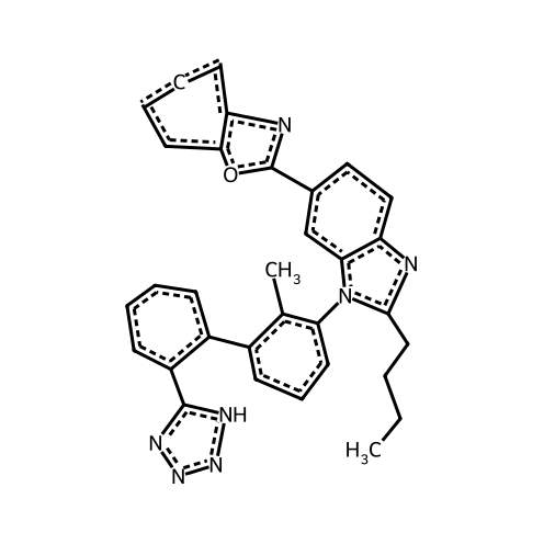 CCCCc1nc2ccc(-c3nc4ccccc4o3)cc2n1-c1cccc(-c2ccccc2-c2nnn[nH]2)c1C